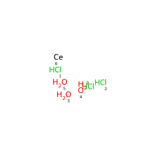 Cl.Cl.Cl.O.O.O.[Ce]